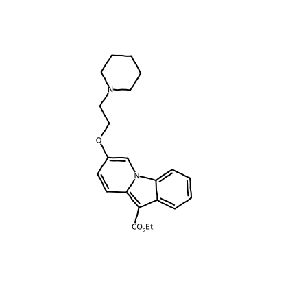 CCOC(=O)c1c2ccccc2n2cc(OCCN3CCCCC3)ccc12